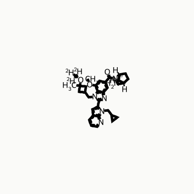 [2H]C([2H])([2H])OC1(C)CC(Cn2c(-c3cc4cccnc4n3CC3CC3)nc3cc(C(=O)N4C[C@H]5CC[C@@H]4[C@@H]5N)cc(OC)c32)C1